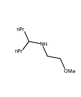 CCCC(CCC)NCCOC